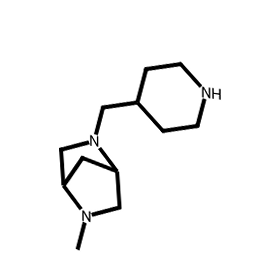 CN1CC2CC1CN2CC1CCNCC1